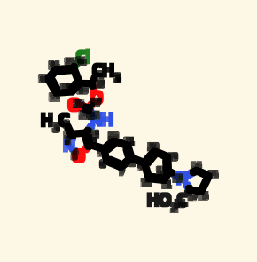 Cc1noc(-c2ccc(-c3ccc(N4CCCC4C(=O)O)cc3)cc2)c1NC(=O)O[C@H](C)c1ccccc1Cl